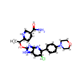 CC(Oc1nc2nc(-c3ccc(N4CCOCC4)cc3)c(Cl)cc2[nH]1)c1ccc(C(N)=O)cn1